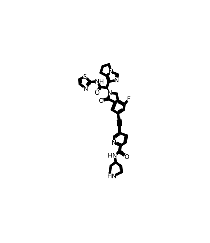 O=C(NC1CCNCC1)c1ccc(C#Cc2cc(F)c3c(c2)C(=O)N([C@@H](C(=O)Nc2nccs2)c2ncn4c2CCC4)C3)cn1